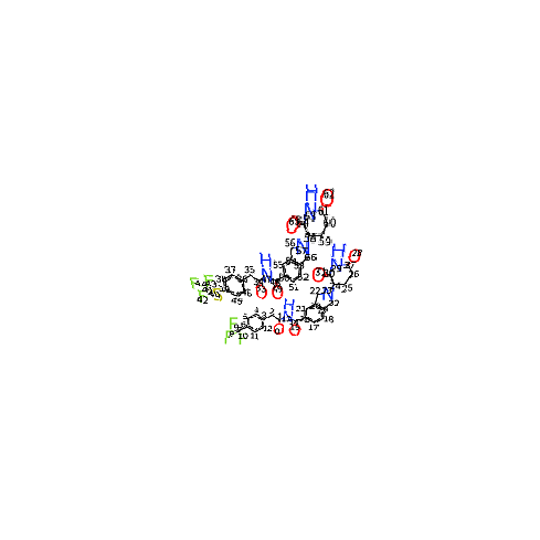 O=C(Cc1ccc(C(F)(F)F)cc1)NC(=O)c1ccc2c(c1)CN(C1CCC(=O)NC1=O)C2.O=C(Cc1ccc(SC(F)(F)F)cc1)NC(=O)c1ccc2c(c1)CN(C1CCC(=O)NC1=O)C2